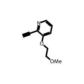 C#Cc1ncccc1OCCOC